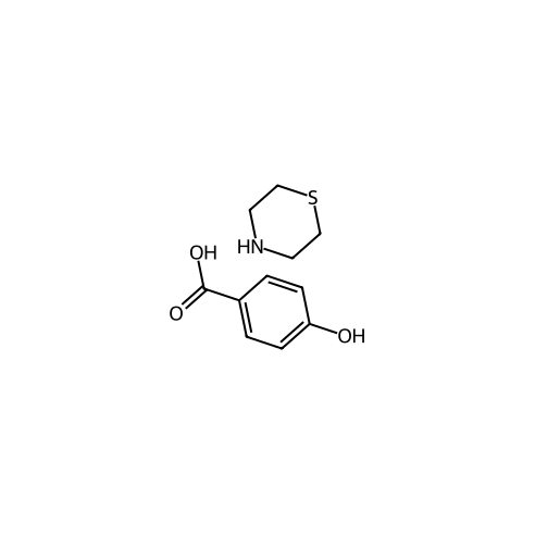 C1CSCCN1.O=C(O)c1ccc(O)cc1